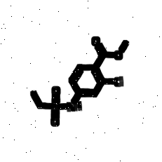 CCS(=O)(=O)Nc1ccc(C(=O)OC)c(Cl)c1